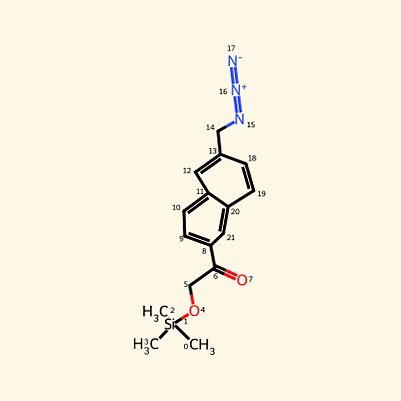 C[Si](C)(C)OCC(=O)c1ccc2cc(CN=[N+]=[N-])ccc2c1